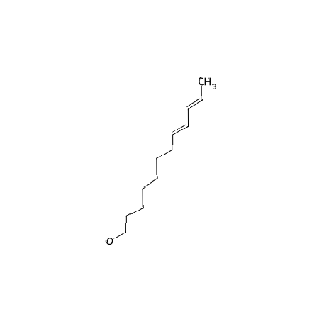 C/C=C/C=C/CCCCCCC[O]